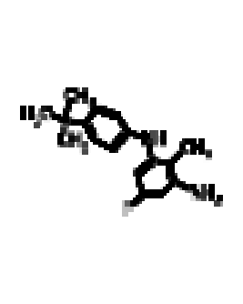 Cc1c(N)cc(F)cc1Nc1ccc(C(C)(C)C)cc1